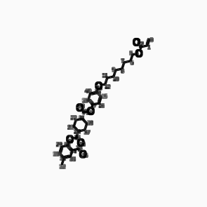 C=CC(=O)OCCCCCCCCOc1ccc(OC(=O)[C@H]2CC[C@H](C(=O)Oc3ccc(C)cc3C=O)CC2)cc1